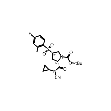 CC(C)(C)OC(=O)N1C[C@H](S(=O)(=O)c2ccc(F)cc2F)C[C@H]1C(=O)N(C#N)C1CC1